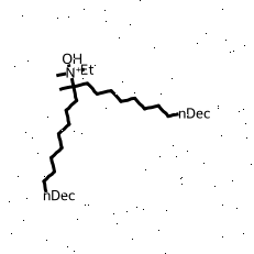 CCCCCCCCCCCCCCCCCCC(C)(CCCCCCCCCCCCCCCCCC)[N+](C)(O)CC